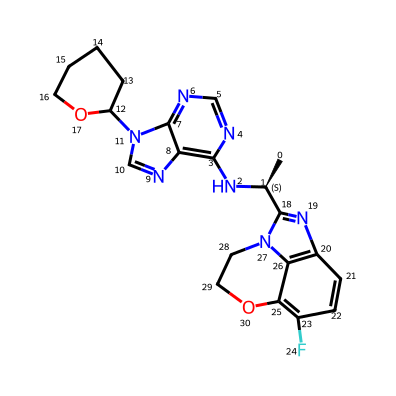 C[C@H](Nc1ncnc2c1ncn2C1CCCCO1)c1nc2ccc(F)c3c2n1CCO3